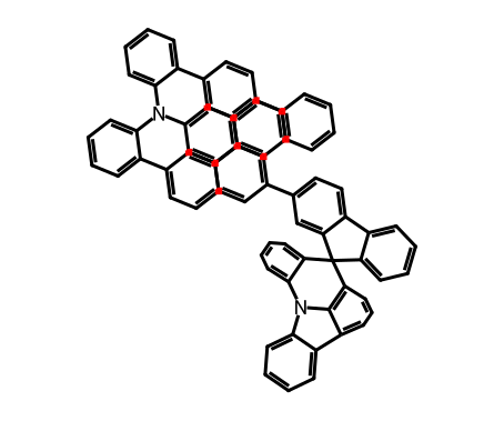 c1ccc(-c2ccc(-c3ccccc3N(c3ccc4cc(-c5ccc6c(c5)C5(c7ccccc7-6)c6ccccc6-n6c7ccccc7c7cccc5c76)ccc4c3)c3ccccc3-c3cccc(-c4ccccc4)c3)cc2)cc1